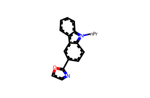 CCCn1c2ccccc2c2cc(-c3ncco3)ccc21